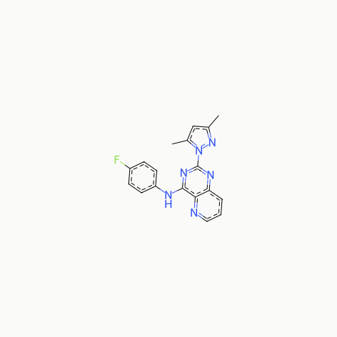 Cc1cc(C)n(-c2nc(Nc3ccc(F)cc3)c3ncccc3n2)n1